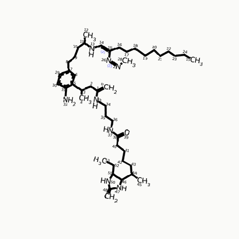 C=C(CC(C)c1cc(CCCC(C)N/C=C(CCCCCCCCCC)\N=N/C)ccc1N)NCCCNC(=O)CCCCC(C)C1NC(=C)NC1CC